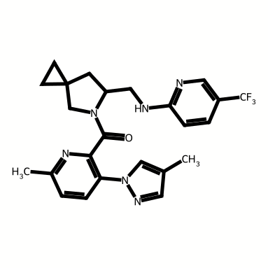 Cc1cnn(-c2ccc(C)nc2C(=O)N2CC3(CC3)CC2CNc2ccc(C(F)(F)F)cn2)c1